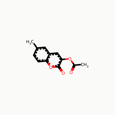 CC(=O)Oc1cc2cc(C)ccc2oc1=O